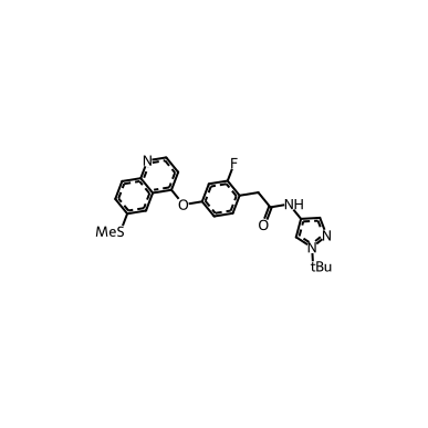 CSc1ccc2nccc(Oc3ccc(CC(=O)Nc4cnn(C(C)(C)C)c4)c(F)c3)c2c1